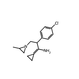 CC1CN1CC(C(N)=C1CC1)c1ccc(Cl)cc1